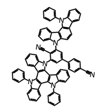 N#Cc1ccc(-c2cc(-n3c4ccccc4c4c3ccc3c5ccccc5n(-c5ccccc5)c34)c(C#N)c(-n3c4ccccc4c4c5c(c6ccccc6n5-c5ccccc5)c5c(c6ccccc6n5-c5ccccc5)c43)c2)cc1